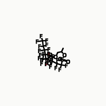 CC(COS(=O)(=O)C(F)(F)C(F)(F)C(F)(F)C(F)(F)C(F)(F)F)OS(=O)(=O)C(F)(F)C(F)(F)C(F)(F)C(F)(F)C(F)(F)F